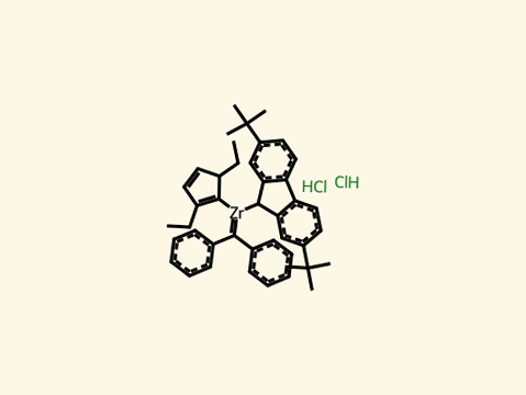 CCC1=[C]([Zr](=[C](c2ccccc2)c2ccccc2)[CH]2c3cc(C(C)(C)C)ccc3-c3ccc(C(C)(C)C)cc32)C(CC)C=C1.Cl.Cl